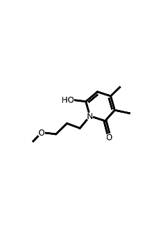 COCCCn1c(O)cc(C)c(C)c1=O